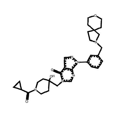 O=C(C1CC1)N1CCC(O)(Cn2cnc3c(cnn3-c3cccc(CN4CCC5(CCOCC5)C4)c3)c2=O)CC1